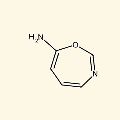 NC1=CC=CN=CO1